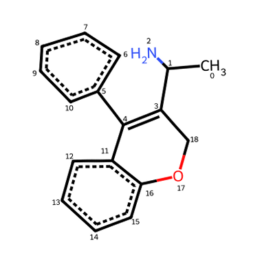 CC(N)C1=C(c2ccccc2)c2ccccc2OC1